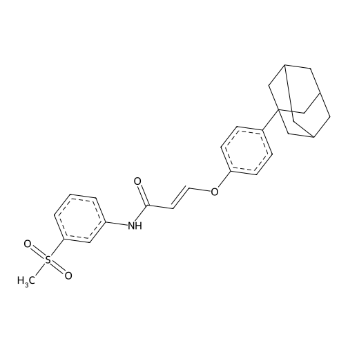 CS(=O)(=O)c1cccc(NC(=O)C=COc2ccc(C34CC5CC(CC(C5)C3)C4)cc2)c1